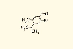 Cc1cc(C=O)c(Br)cc1C(C)C